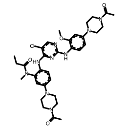 CCC(=O)N(C)c1cc(N2CCN(C(C)=O)CC2)ccc1Nc1nc(Nc2ccc(N3CCN(C(C)=O)CC3)cc2OC)ncc1Cl